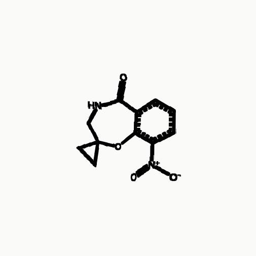 O=C1NCC2(CC2)Oc2c1cccc2[N+](=O)[O-]